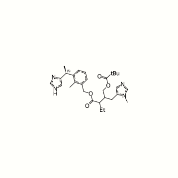 CCC(C(=O)OCc1cccc([C@H](C)c2c[nH]cn2)c1C)C(COC(=O)C(C)(C)C)Cc1cncn1C